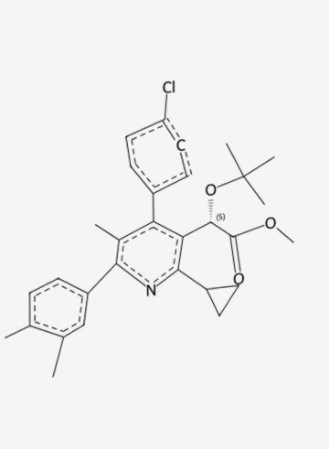 COC(=O)[C@@H](OC(C)(C)C)c1c(C2CC2)nc(-c2ccc(C)c(C)c2)c(C)c1-c1ccc(Cl)cc1